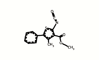 COC(=O)c1c(N=C=O)sc(-c2ccccc2)c1C